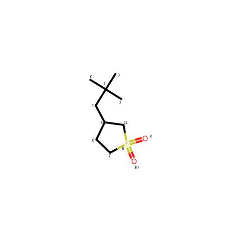 CC(C)(C)CC1CCS(=O)(=O)C1